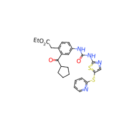 CCOC(=O)Cc1ccc(NC(=O)Nc2ncc(Sc3ccccn3)s2)cc1C(=O)C1CCCC1